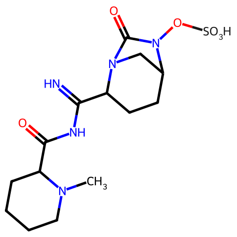 CN1CCCCC1C(=O)NC(=N)C1CCC2CN1C(=O)N2OS(=O)(=O)O